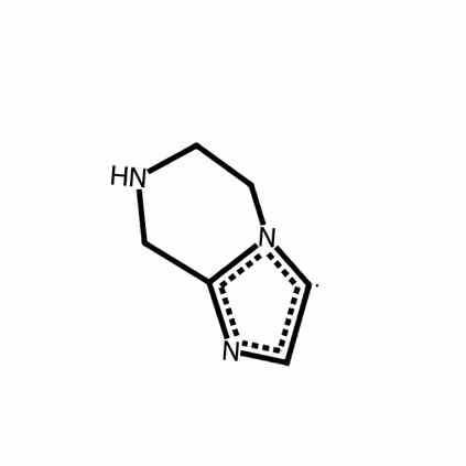 [c]1cnc2n1CCNC2